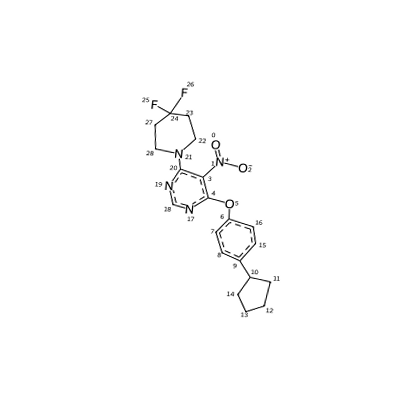 O=[N+]([O-])c1c(Oc2ccc(C3CCCC3)cc2)ncnc1N1CCC(F)(F)CC1